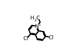 CC[n+]1ccc(Cl)c2ccc(Cl)cc21